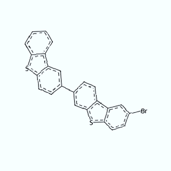 Brc1ccc2sc3cc(-c4ccc5sc6ccccc6c5c4)ccc3c2c1